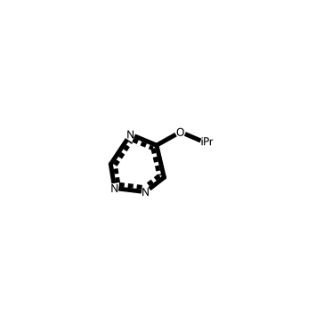 CC(C)Oc1cnncn1